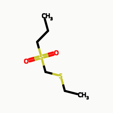 CCCS(=O)(=O)CSCC